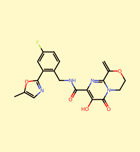 C=C1OCCn2c1nc(C(=O)NCc1ccc(F)cc1-c1ncc(C)o1)c(O)c2=O